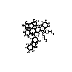 CC1(C)c2ccccc2-c2cc3c(cc21)N(c1ccc2sc4ccccc4c2c1)c1ccccc1C31c2ccsc2-c2sccc21